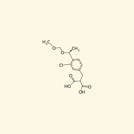 COCO[C@@H](C)c1ccc(CC(C(=O)O)C(=O)O)cc1Cl